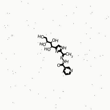 C/C(=N\NC(=O)c1cccnc1)c1nc([C@@H](O)[C@H](O)[C@H](O)CO)c[nH]1